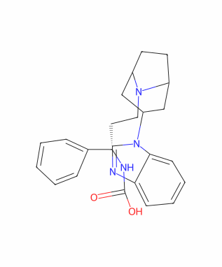 O=C(O)N[C@@H](CCN1C2CCC1CC(n1cnc3ccccc31)C2)c1ccccc1